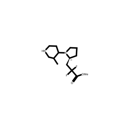 COC(=O)C(F)(F)C[C@@H]1CCCN1C1CCNCC1C